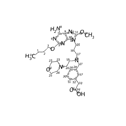 CCCCOc1nc(N)c2nc(OC)n(CCCN(CCN3CCOCC3)Cc3cccc(CC(=O)O)c3)c2n1